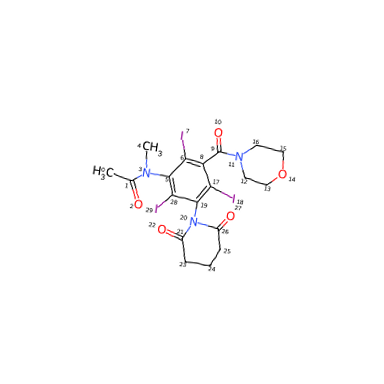 CC(=O)N(C)c1c(I)c(C(=O)N2CCOCC2)c(I)c(N2C(=O)CCCC2=O)c1I